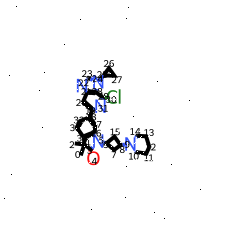 CC1(C)C(=O)N(C2CC(N3CCCCC3)C2)c2cc(-c3cc4ncn(C5CC5)c4c(Cl)n3)ccc21